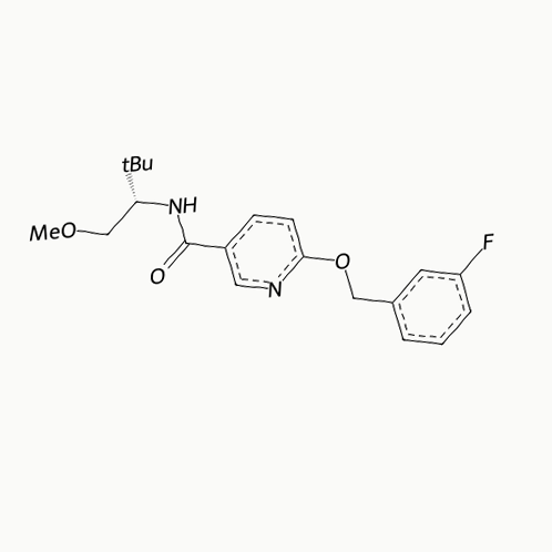 COC[C@@H](NC(=O)c1ccc(OCc2cccc(F)c2)nc1)C(C)(C)C